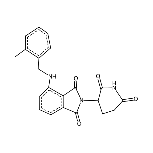 Cc1ccccc1CNc1cccc2c1C(=O)N(C1CCC(=O)NC1=O)C2=O